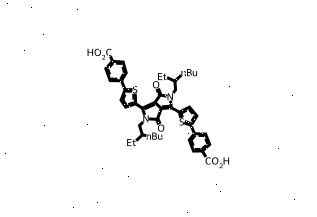 CCCCC(CC)CN1C(=O)C2=C(c3ccc(-c4ccc(C(=O)O)cc4)s3)N(CC(CC)CCCC)C(=O)C2=C1c1ccc(-c2ccc(C(=O)O)cc2)s1